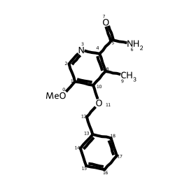 COc1cnc(C(N)=O)c(C)c1OCc1ccccc1